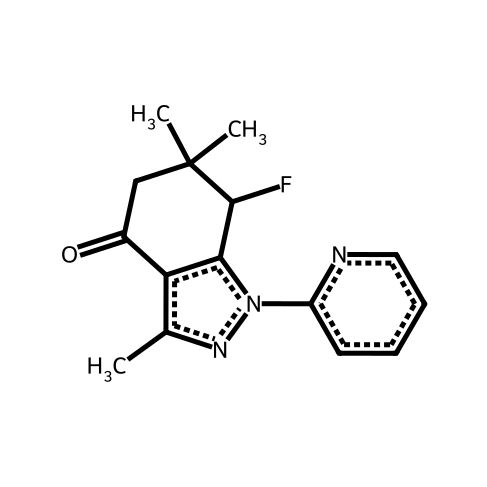 Cc1nn(-c2ccccn2)c2c1C(=O)CC(C)(C)C2F